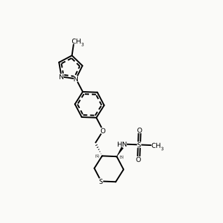 Cc1cnn(-c2ccc(OC[C@H]3CSCC[C@@H]3NS(C)(=O)=O)cc2)c1